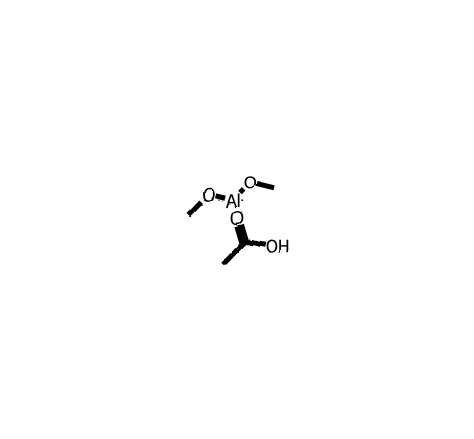 CC(=O)O.C[O][Al][O]C